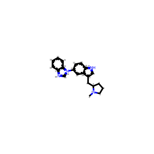 CN1CCCC1Cc1c[nH]c2ccc(-n3cnc4ccccc43)cc12